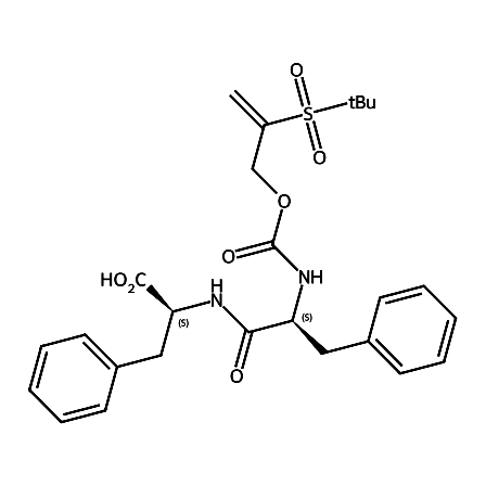 C=C(COC(=O)N[C@@H](Cc1ccccc1)C(=O)N[C@@H](Cc1ccccc1)C(=O)O)S(=O)(=O)C(C)(C)C